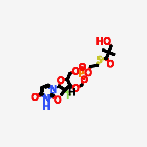 CC(C)(CO)C(=O)SCCOP1(=O)OCO[C@H]2C(CO1)O[C@@H](n1ccc(=O)[nH]c1=O)C2(C)F